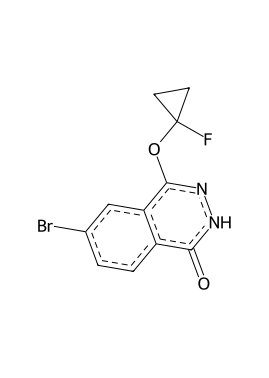 O=c1[nH]nc(OC2(F)CC2)c2cc(Br)ccc12